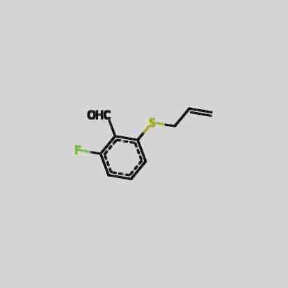 C=CCSc1cccc(F)c1C=O